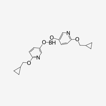 B(Oc1ccc(OCC2CC2)nc1)Oc1ccc(OCC2CC2)nc1